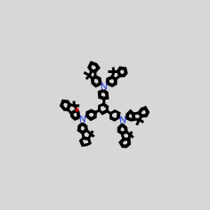 CC1(C)C2=C(C=CCC2)c2ccc(N(c3ccc(C4C=C(C5C=CC(N(c6ccc7c(c6)C(C)(C)c6ccccc6-7)c6ccc7c(c6)C(C)(C)c6ccccc6-7)=CC5)C=C(c5ccc(N(c6ccc7c(c6)-c6ccccc6C7(C)C)c6ccc7c(c6)C(C)(C)c6ccccc6-7)cc5)C4)cc3)c3ccc4c(c3)C(C)(C)c3ccccc3-4)cc21